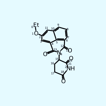 CCOc1cc2c3c(cccc3c1)C(=O)N(C1CCC(=O)NC1=O)C2=O